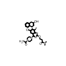 CN(C)C(=O)CCOc1nc(N2CCN(C(N)=O)CC2)c2cc(Cl)c([C@@H]3C=C(O)Cc4ccccc43)c(F)c2n1